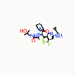 C/C(=N\C(C(=O)N1C2CCC1CC2)C(=S)c1cnc(N[C@@H](C)C2CC2)cc1C(F)F)C(=O)NCC(C)(C)O